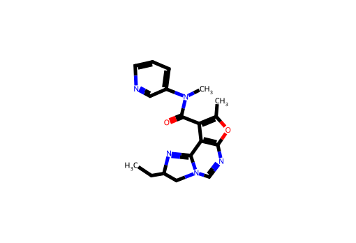 CCC1CN2C=Nc3oc(C)c(C(=O)N(C)c4cccnc4)c3C2=N1